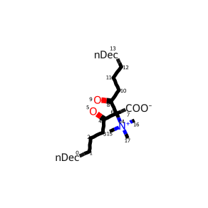 CCCCCCCCCCCCCC(=O)C(C(=O)[O-])(C(=O)CCCCCCCCCCCCC)[N+](C)(C)C